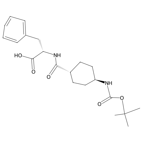 CC(C)(C)OC(=O)N[C@H]1CC[C@H](C(=O)N[C@@H](Cc2ccccc2)C(=O)O)CC1